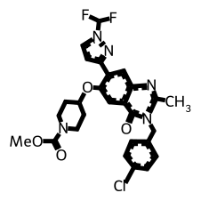 COC(=O)N1CCC(Oc2cc3c(=O)n(Cc4ccc(Cl)cc4)c(C)nc3cc2-c2ccn(C(F)F)n2)CC1